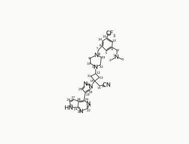 CN(C)Cc1cc(CN2CCN(C3CC(CC#N)(n4cc(-c5ncnc6[nH]ccc56)cn4)C3)CC2)cc(C(F)(F)F)c1